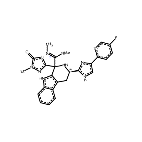 CCn1nc(C2(/C(=N/C)NC)N[C@@H](c3nc(-c4ccc(F)cn4)c[nH]3)Cc3c2[nH]c2ccccc32)oc1=O